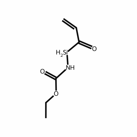 C=CC(=O)[SiH2]NC(=O)OCC